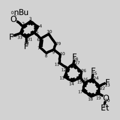 CCCCOc1ccc(C2=CCC(CCc3ccc(-c4ccc(OCC)c(F)c4F)cc3F)CC2)c(F)c1F